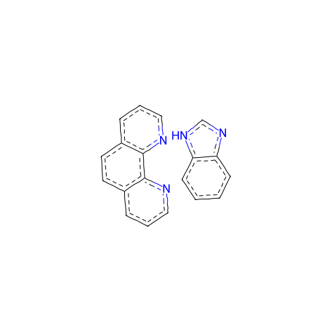 c1ccc2[nH]cnc2c1.c1cnc2c(c1)ccc1cccnc12